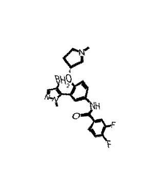 Bc1cnn(C)c1-c1cc(NC(=O)c2ccc(F)c(F)c2)ccc1O[C@@H]1CCN(C)C1